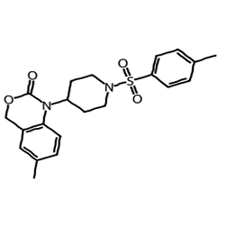 Cc1ccc(S(=O)(=O)N2CCC(N3C(=O)OCc4cc(C)ccc43)CC2)cc1